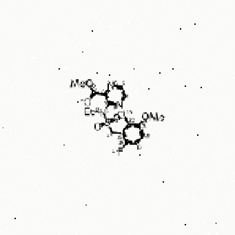 CCN(c1nccnc1C(=O)OC)S(=O)(=O)Cc1c(F)ccc(OC)c1Cl